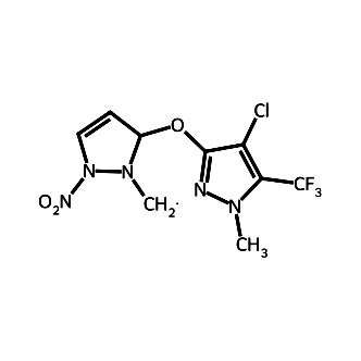 [CH2]N1C(Oc2nn(C)c(C(F)(F)F)c2Cl)C=CN1[N+](=O)[O-]